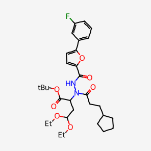 CCOC(CC(C(=O)OC(C)(C)C)N(NC(=O)c1ccc(-c2cccc(F)c2)o1)C(=O)CCC1CCCC1)OCC